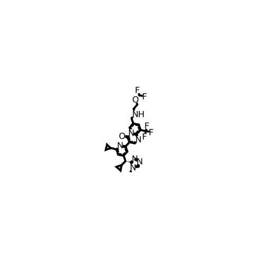 Cn1cnnc1[C@@H](c1cc(-c2cnc3c(C(F)(F)F)cc(CNCCOC(F)F)cn3c2=O)nc(C2CC2)c1)C1CC1